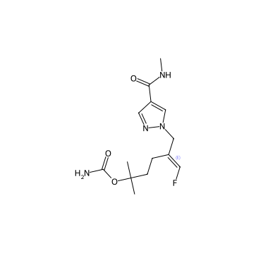 CNC(=O)c1cnn(C/C(=C/F)CCC(C)(C)OC(N)=O)c1